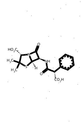 CC1(C)S[C@@H]2[C@H](NC(=O)[C@@H](C(=O)O)c3ccccc3)C(=O)N2[C@H]1C(=O)O